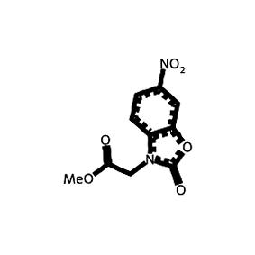 COC(=O)Cn1c(=O)oc2cc([N+](=O)[O-])ccc21